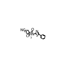 N#CN1CC(C(F)(F)F)[C@H](C(=O)Nc2ncc(-c3ccccc3)s2)C1